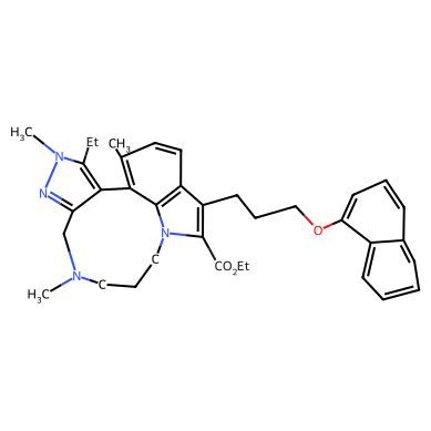 CCOC(=O)c1c(CCCOc2cccc3ccccc23)c2ccc(C)c3c2n1CCCN(C)Cc1nn(C)c(CC)c1-3